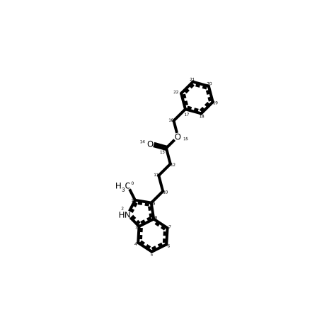 Cc1[nH]c2ccccc2c1CCCC(=O)OCc1ccccc1